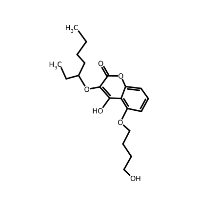 CCCCC(CC)Oc1c(O)c2c(OCCCCO)cccc2oc1=O